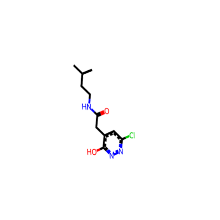 CC(C)CCNC(=O)Cc1cc(Cl)nnc1O